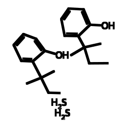 CCC(C)(C)c1ccccc1O.CCC(C)(C)c1ccccc1O.S.S